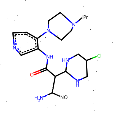 CC(C)N1CCN(c2ccncc2NC(=O)C(C(N)N=O)C2NCC(Cl)CN2)CC1